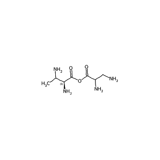 CC(N)[C@H](N)C(=O)OC(=O)C(N)CN